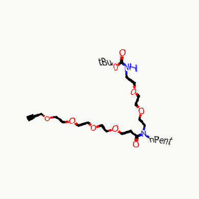 C#CCOCCOCCOCCOCCC(=O)N(CCCCC)CCOCCOCCNC(=O)OC(C)(C)C